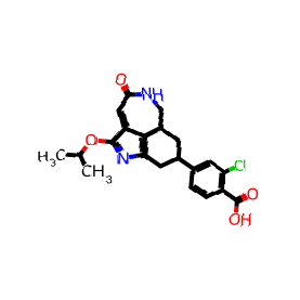 CC(C)OC1=NC2=C3C1=CC(=O)NCC3CC(c1ccc(C(=O)O)c(Cl)c1)C2